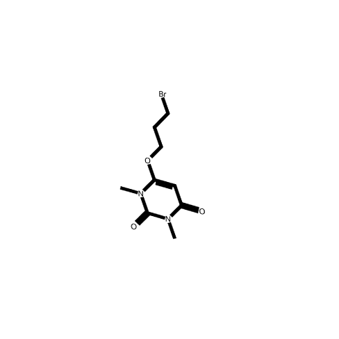 Cn1c(OCCCBr)cc(=O)n(C)c1=O